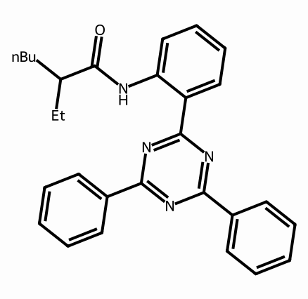 CCCCC(CC)C(=O)Nc1ccccc1-c1nc(-c2ccccc2)nc(-c2ccccc2)n1